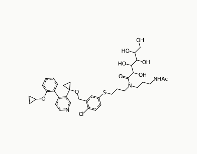 CC(=O)NCCCN(CCCSc1ccc(Cl)c(COC2(c3cnccc3-c3ccccc3OC3CC3)CC2)c1)C(=O)C(O)C(O)C(O)C(O)CO